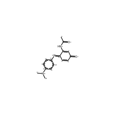 CC(=O)NC1=CC(=O)C=CC1=Nc1ccc(N(C)C)cc1